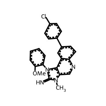 COc1ccccc1-n1c(=N)n(C)c2cnc3ccc(-c4ccc(Cl)cc4)cc3c21